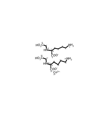 NCCCC[C@H](NCC(=O)O)C(=O)[O-].NCCCC[C@H](NCC(=O)O)C(=O)[O-].[Co+2]